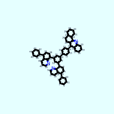 c1ccc(-c2ccc(-c3cc(-c4ccc(-c5c6ccccc6nc6c5ccc5ccccc56)cc4)cc(-c4ccc(-c5ccccc5)c5cccnc45)c3)c3ncccc23)cc1